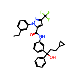 CCc1cccc(-n2nc(C(F)(F)F)cc2C(=O)Nc2cccc(C(O)(CCC3CC3)c3ccccc3)c2)c1